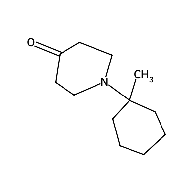 CC1(N2CCC(=O)CC2)CCCCC1